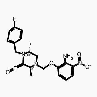 C[C@@H]1CN(COc2cccc([N+](=O)[O-])c2N)[C@@H](C)C(=C=O)N1Cc1ccc(F)cc1